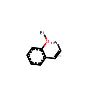 CCC/[C]=C\c1ccccc1OCC